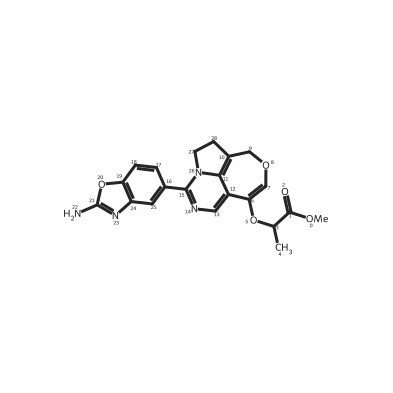 COC(=O)C(C)OC1=COCC2=C3C1=CN=C(c1ccc4oc(N)nc4c1)N3CC2